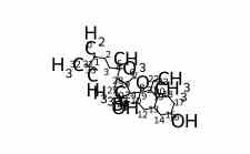 C=C(CCC1(C)OC2OC3(C(Br)CC4CC(O)CCC4(C)C3CC)C3C(O)CC1C23C)C(C)C